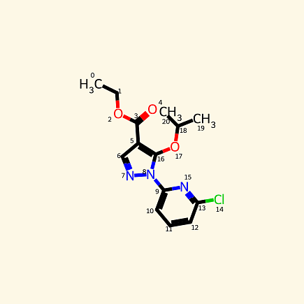 CCOC(=O)c1cnn(-c2cccc(Cl)n2)c1OC(C)C